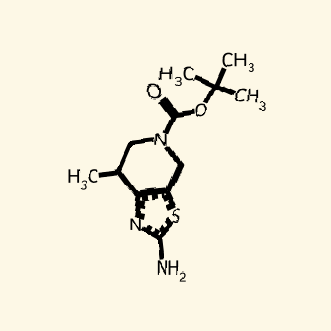 CC1CN(C(=O)OC(C)(C)C)Cc2sc(N)nc21